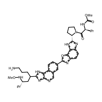 CON[C@H](CC(CCCN)c1nc2ncc3cc(-c4nc5ccc6nc([C@@H]7CCCN7C(=O)[C@@H](NC(=O)OC)C(C)C)[nH]c6c5o4)ccc3c2[nH]1)C(C)C